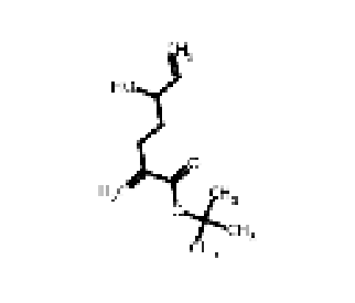 C=CC(O)CCC(=C)C(=O)OC(C)(C)C